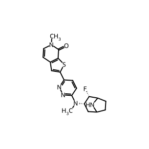 CN(c1ccc(-c2cc3ccn(C)c(=O)c3s2)nn1)[C@H]1CC2CCC(N2)[C@H]1F